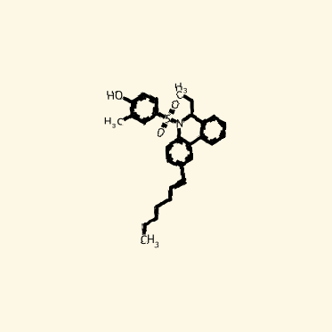 CCCCCC=Cc1ccc2c(c1)-c1ccccc1C(CC)N2S(=O)(=O)c1ccc(O)c(C)c1